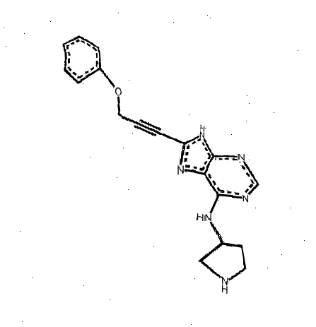 C(#Cc1nc2c(NC3CCNC3)ncnc2[nH]1)COc1ccccc1